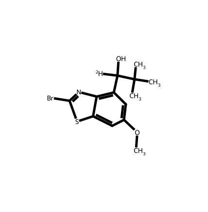 [2H]C(O)(c1cc(OC)cc2sc(Br)nc12)C(C)(C)C